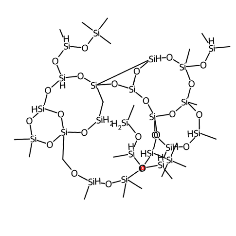 C[SiH2]O[SiH](C)O[SiH](C)[SiH]1O[SiH](C)O[Si]2(C)O[Si](C)(O[SiH](C)C)O[SiH]3O[Si]4(C)O[Si](O1)(O[SiH]([Si](C)(C)C)O[Si](C)(C)O[SiH](C)OC[Si]15O[SiH2]C[Si]3(O[SiH](O[SiH](C)O[Si](C)(C)C)O[SiH](O[Si](C)(C)O1)O5)O4)O2